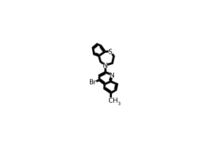 Cc1ccc2nc(N3CCSc4ccccc4C3)cc(Br)c2c1